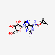 OC[C@H]1O[C@@H](n2cnc3c(NOC4CC4)nc(I)nc32)[C@H](O)[C@@H]1O